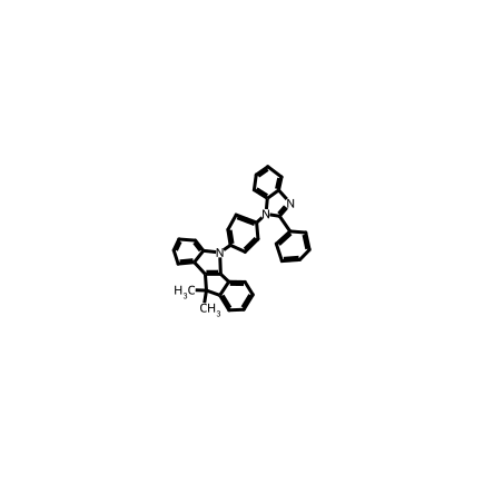 CC1(C)c2ccccc2-c2c1c1ccccc1n2-c1ccc(-n2c(-c3ccccc3)nc3ccccc32)cc1